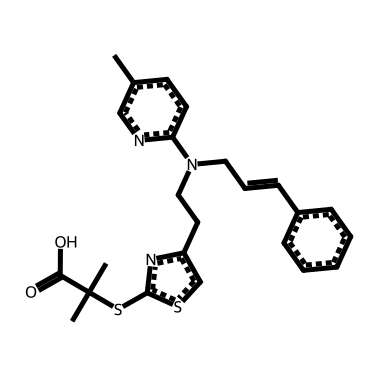 Cc1ccc(N(CC=Cc2ccccc2)CCc2csc(SC(C)(C)C(=O)O)n2)nc1